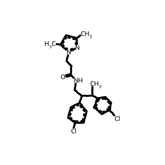 Cc1cc(C)n(CCC(=O)NCC(c2ccc(Cl)cc2)C(C)c2ccc(Cl)cc2)n1